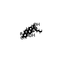 CCCCC(=O)O[C@]1(C(=O)CO)[C@H](C)C[C@H]2[C@@H]3CCC4=C(F)C(=O)C=C[C@]4(C)[C@@]3(Cl)[C@@H](O)C[C@@]21C